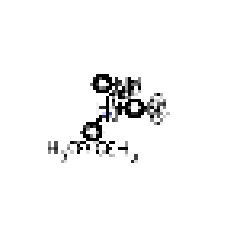 COc1ccc(/C=N/Nc2ccc([N+](=O)[O-])cc2S(=O)(=O)Nc2ccccc2Cl)cc1OC